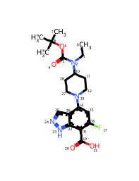 CCN(C(=O)OC(C)(C)C)C1CCN(c2cc(F)c(C(=O)O)c3[nH]ncc23)CC1